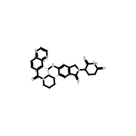 O=C1CCC(N2Cc3cc(OC[C@@H]4CCCCN4C(=O)c4ccc5nccnc5c4)ccc3C2=O)C(=O)N1